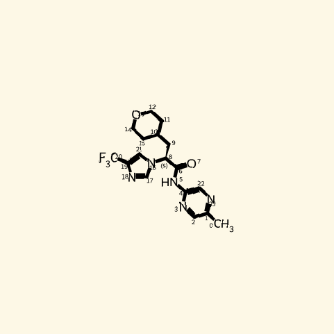 Cc1cnc(NC(=O)[C@H](CC2CCOCC2)n2cnc(C(F)(F)F)c2)cn1